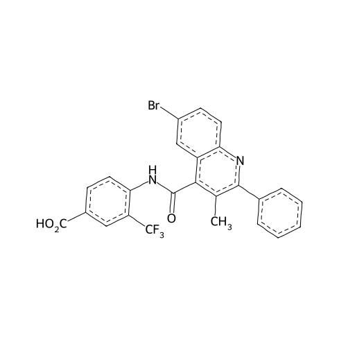 Cc1c(-c2ccccc2)nc2ccc(Br)cc2c1C(=O)Nc1ccc(C(=O)O)cc1C(F)(F)F